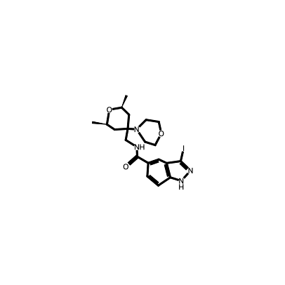 C[C@@H]1CC(CNC(=O)c2ccc3[nH]nc(I)c3c2)(N2CCOCC2)C[C@H](C)O1